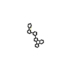 C1=CC2c3ccccc3-c3ccc(-c4cccc(-c5cccc6c5sc5ccccc56)c4)cc3C2C=C1